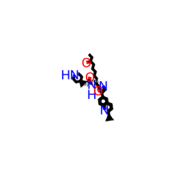 CCC(=O)CCCCC[C@H](NC(=O)[C@H]1CC12CCNCC2)c1ncc(-c2ccc3nc(C4CC4)ccc3c2)o1